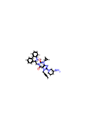 CC#CCn1c(N2CCC[C@@H](N)C2)nc2c1c(=O)n(Cc1nc3ccccc3c3ccccc13)c(=O)n2C1CC1